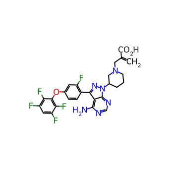 C=C(CN1CCCC(n2nc(-c3ccc(Oc4c(F)c(F)cc(F)c4F)cc3F)c3c(N)ncnc32)C1)C(=O)O